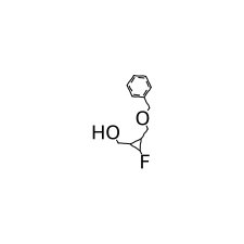 OCC1C(F)C1COCc1ccccc1